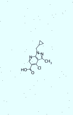 Cc1nn(CC2CC2)c2ncc(C(=O)O)c(Cl)c12